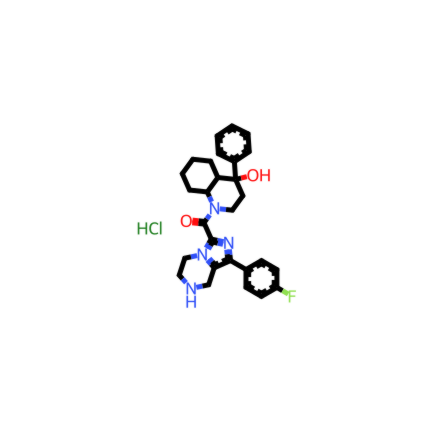 Cl.O=C(c1nc(-c2ccc(F)cc2)c2n1CCNC2)N1CCC(O)(c2ccccc2)C2CCCCC21